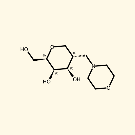 OC[C@H]1OC[C@H](CN2CCOCC2)[C@@H](O)[C@H]1O